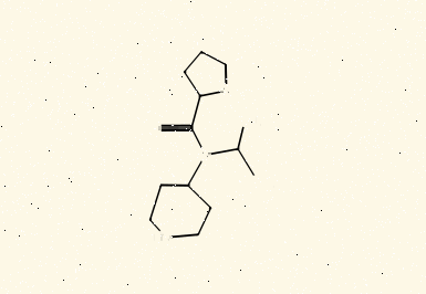 CC(C)N(C(=O)C1CCCN1)C1CCNCC1